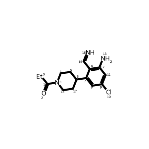 CCC(=O)N1CCC(c2cc(Cl)cc(N)c2C=N)CC1